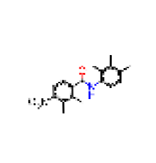 Cc1ccc(NC(=O)c2ccc([N+](=O)[O-])c(C)c2C)c(C)c1C